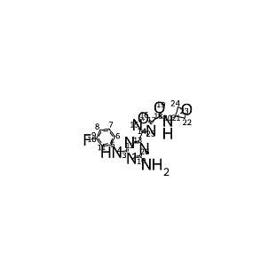 Nc1nc(Nc2cccc(F)c2)nc(-c2noc(C(=O)NC3COC3)n2)n1